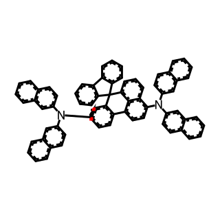 c1ccc2c(c1)-c1ccccc1C21c2c(ccc3cc(N(c4ccc5ccccc5c4)c4ccc5ccccc5c4)ccc23)-c2ccc(N(c3ccc4ccccc4c3)c3ccc4ccccc4c3)c3cccc1c23